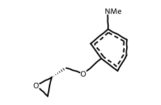 CNc1cccc(OC[C@@H]2CO2)c1